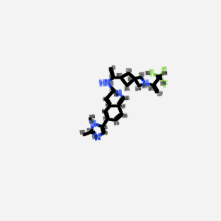 C=C(Nc1cc2cc(-c3cnc(C)n3C)ccc2cn1)C1CC2(C1)CN(C(=C)C(F)(F)F)C2